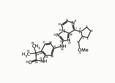 COCC1CCCN1c1nccn2nc(Nc3ccc4c(c3)NC(=O)C4(C)C)nc12